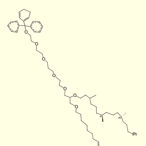 C=CCCCCCCCOCC(COCCOCCCOCCOCCOC(C1=CCCC=C1)(c1ccccc1)c1ccccc1)OCCC(C)CCC[C@H](C)CCC[C@H](C)CCCC(C)C